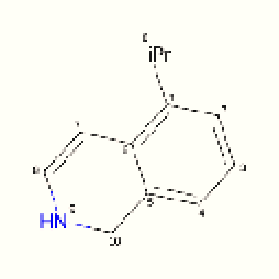 CC(C)c1cccc2c1C=CNC2